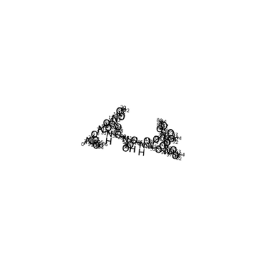 CCN(CCOCCN(CCOCCN(CC(=O)OC(C)(C)C)CC(=O)OC(C)(C)C)CC(=O)NCCOCCN(CCOCCNC(=O)CN(CCOCCN(CC(=O)OC(C)(C)C)CC(=O)OC(C)(C)C)CCOCCN(CC(=O)OC(C)(C)C)CC(=O)OC(C)(C)C)CC(=O)O)CC(=O)OC(C)(C)C